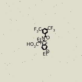 CCOc1ccc2c(c1)s/c(=N\C(=O)c1cc(C(F)(F)F)cc(C(F)(F)F)c1)n2C(CC)C(=O)O